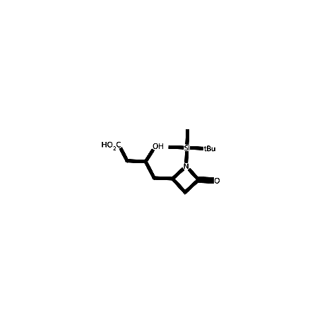 CC(C)(C)[Si](C)(C)N1C(=O)CC1CC(O)CC(=O)O